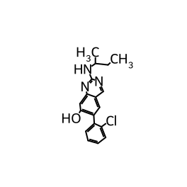 CCC(C)Nc1ncc2cc(-c3ccccc3Cl)c(O)cc2n1